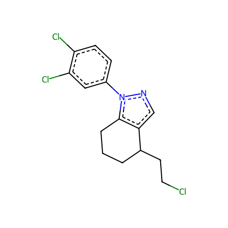 ClCCC1CCCc2c1cnn2-c1ccc(Cl)c(Cl)c1